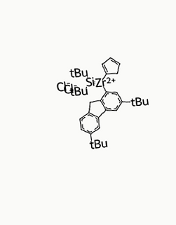 CC(C)(C)c1ccc2c(c1)-c1cc(C(C)(C)C)c[c]([Zr+2]([C]3=CC=CC3)=[Si](C(C)(C)C)C(C)(C)C)c1C2.[Cl-].[Cl-]